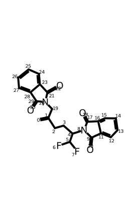 C=C(CCC(C(F)F)N1C(=O)c2ccccc2C1=O)CN1C(=O)c2ccccc2C1=O